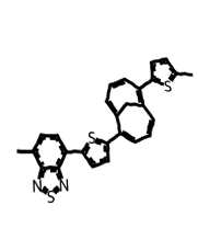 Cc1ccc(C2=C3C=CC=C(c4ccc(-c5ccc(C)c6nsnc56)s4)C(=CC=C2)C3)s1